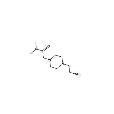 CN(C)C(=O)CN1CCN(CCN)CC1